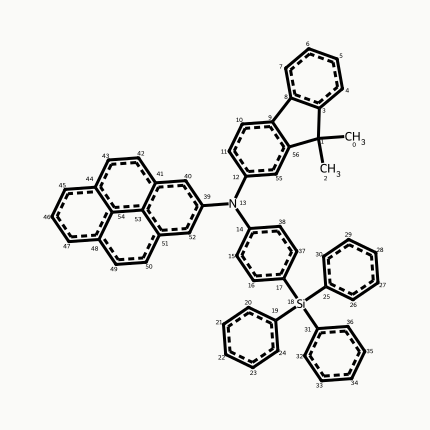 CC1(C)c2ccccc2-c2ccc(N(c3ccc([Si](c4ccccc4)(c4ccccc4)c4ccccc4)cc3)c3cc4ccc5cccc6ccc(c3)c4c56)cc21